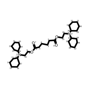 O=C(CCCCC(=O)OCCN(C1CCCCC1)C1CCCCC1)OCCN(C1CCCCC1)C1CCCCC1